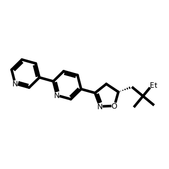 CCC(C)(C)C[C@H]1CC(c2ccc(-c3cccnc3)nc2)=NO1